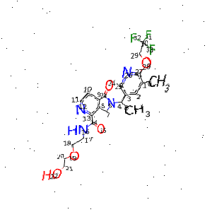 Cc1cc(C(C)N2Cc3c(ccnc3C(=O)NCCOCCO)C2=O)cnc1OCC(F)(F)F